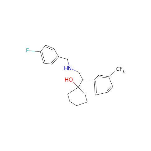 OC1(C(CNCc2ccc(F)cc2)c2cccc(C(F)(F)F)c2)CCCCC1